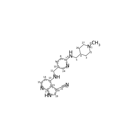 CN1CCC(CNc2ccc(CNc3ccnc4[nH]cc(C#N)c34)cn2)CC1